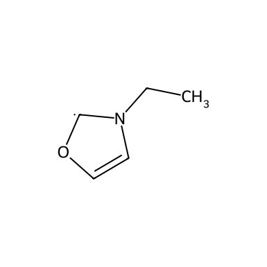 CCN1[CH]OC=C1